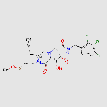 C#CC[C@H]1Cn2cc(C(=O)NCc3ccc(F)c(Cl)c3F)c(=O)c(O)c2C(=O)N1CCSOCC